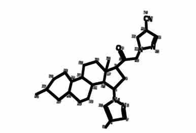 Cc1cnn(C2CC(C(=O)CN3CC(C#N)C=N3)C3(C)CCC4C5CCC(C)CC5CCC4C23)c1